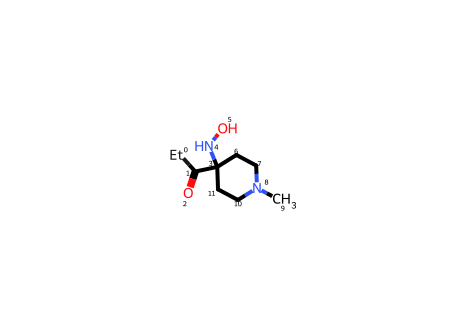 CCC(=O)C1(NO)CCN(C)CC1